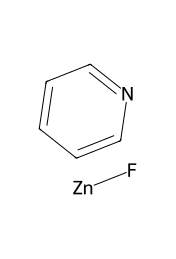 [F][Zn].c1ccncc1